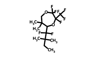 CCC(C)(C)C(F)(F)C1OC(F)(C(F)(F)F)C(F)(F)OCC1(C)C